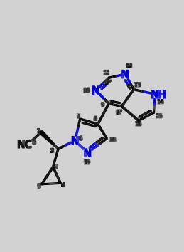 N#CC[C@H](C1CC1)n1cc(-c2ncnc3[nH]ccc23)cn1